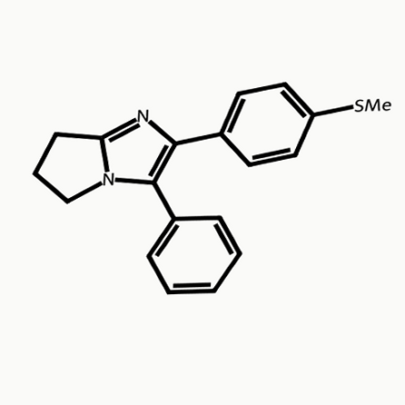 CSc1ccc(-c2nc3n(c2-c2ccccc2)CCC3)cc1